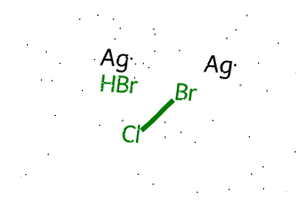 Br.ClBr.[Ag].[Ag]